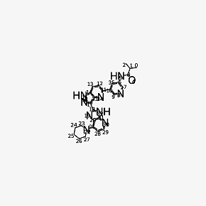 CC(C)C(=O)Nc1cncc(-c2ccc3[nH]nc(-c4nc5c(N6CCCCC6)ccnc5[nH]4)c3n2)c1